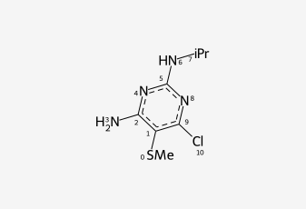 CSc1c(N)nc(NC(C)C)nc1Cl